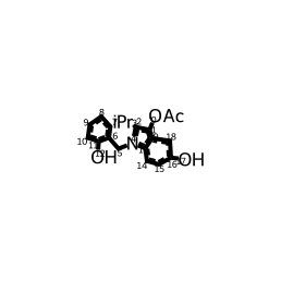 CC(=O)Oc1c(C(C)C)n(Cc2ccccc2O)c2ccc(O)cc12